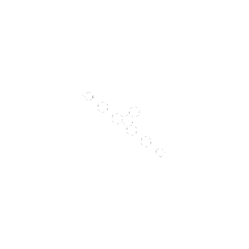 c1ccc2c(c1)c1cc(-c3ccc(-c4cncs4)cc3)ccc1c1ccc(-c3ccc(-c4cncs4)cc3)cc21